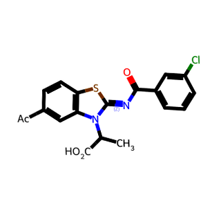 CC(=O)c1ccc2s/c(=N\C(=O)c3cccc(Cl)c3)n(C(C)C(=O)O)c2c1